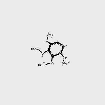 O=C(O)Oc1cnc(OC(=O)O)c(OC(=O)O)c1OC(=O)O